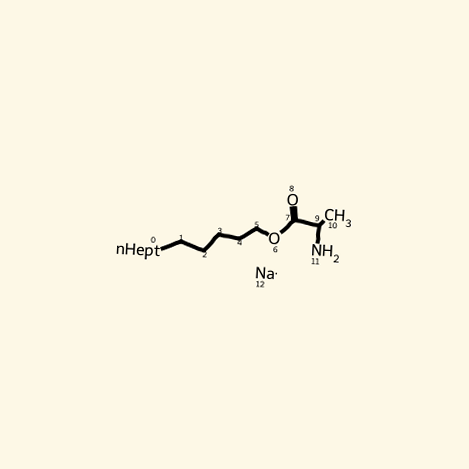 CCCCCCCCCCCCOC(=O)C(C)N.[Na]